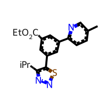 CCOC(=O)c1cc(-c2ccc(C)cn2)cc(-c2snnc2C(C)C)c1